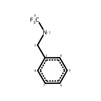 FC(F)(F)[N]Cc1ccccc1